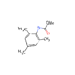 COC(=O)[N]c1c(C)cc(C)cc1C